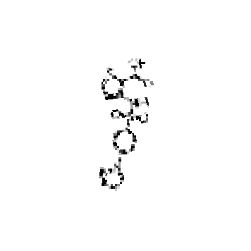 O=C(O)c1sccc1NS(=O)(=O)c1ccc(-n2cccn2)cc1